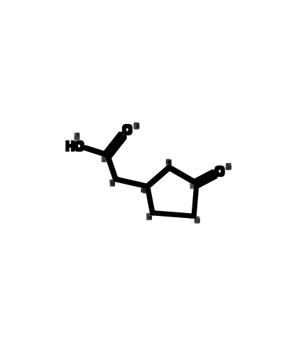 O=C(O)CC1CCC(=O)C1